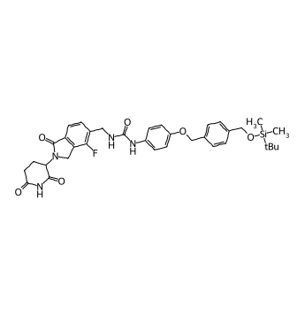 CC(C)(C)[Si](C)(C)OCc1ccc(COc2ccc(NC(=O)NCc3ccc4c(c3F)CN(C3CCC(=O)NC3=O)C4=O)cc2)cc1